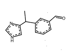 CC(c1cccc(C=O)c1)c1c[nH]cn1